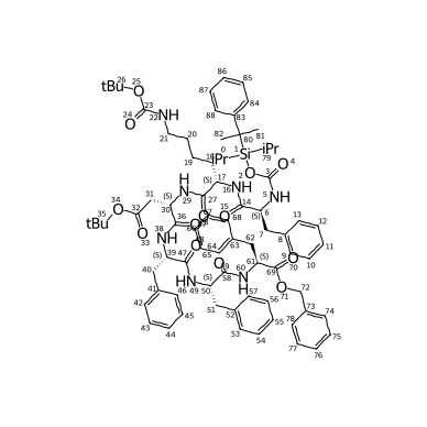 CC(C)[Si](OC(=O)N[C@@H](Cc1ccccc1)C(=O)N[C@@H](CCCCNC(=O)OC(C)(C)C)C(=O)N[C@@H](CC(=O)OC(C)(C)C)C(=O)N[C@@H](Cc1ccccc1)C(=O)N[C@@H](Cc1ccccc1)C(=O)N[C@@H](Cc1ccccc1)C(=O)OCc1ccccc1)(C(C)C)C(C)(C)c1ccccc1